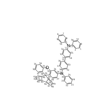 c1ccc(N(c2ccccc2)c2ccc(-c3ccc(N(c4ccccc4)c4ccc5c(c4)Oc4ccccc4C54c5ccccc5-c5ccccc54)cc3)cc2)cc1